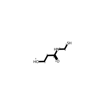 O=C(CCO)NCS